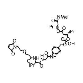 CNC(=O)C[C@H](OC(=O)C[C@H](OP(=O)(O)OCc1ccc(NC(=O)CNC(=O)C(NC(=O)CCOCCN2C(=O)C=CC2=O)C(C)C)cc1)C(C)C)C(C)C